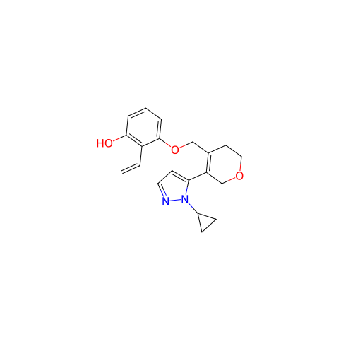 C=Cc1c(O)cccc1OCC1=C(c2ccnn2C2CC2)COCC1